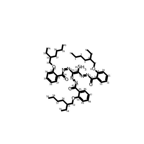 CCCCC(CC)COc1ccccc1C(=O)N=NC([SiH3])=C(N=NC(=O)c1ccccc1OCC(CC)CCCC)N=NC(=O)c1ccccc1OCC(CC)CCCC